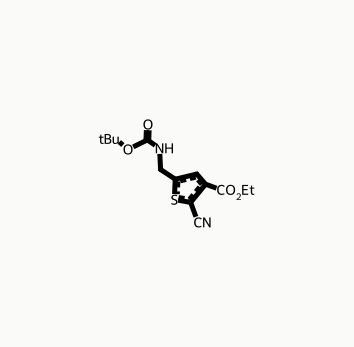 CCOC(=O)c1cc(CNC(=O)OC(C)(C)C)sc1C#N